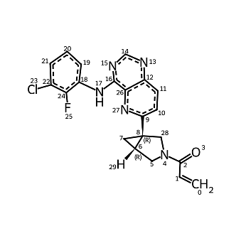 C=CC(=O)N1C[C@@H]2C[C@]2(c2ccc3ncnc(Nc4cccc(Cl)c4F)c3n2)C1